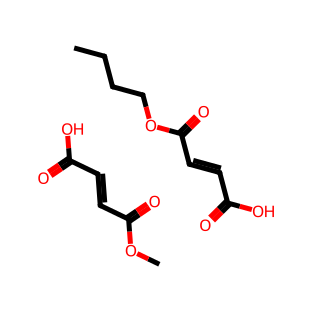 CCCCOC(=O)C=CC(=O)O.COC(=O)C=CC(=O)O